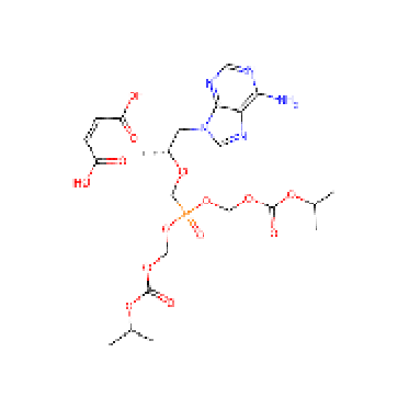 CC(C)OC(=O)OCOP(=O)(CO[C@H](C)Cn1cnc2c(N)ncnc21)OCOC(=O)OC(C)C.O=C(O)/C=C\C(=O)O